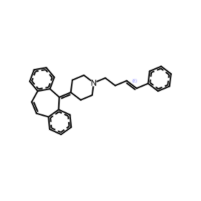 C1=Cc2ccccc2C(=C2CCN(CC/C=C/c3ccccc3)CC2)c2ccccc21